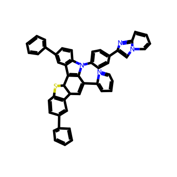 C1=C(c2ccccn2)c2c(c3cc(-c4ccccc4)ccc3n2-c2ccc(-c3cn4ccccc4n3)cc2)C2Sc3ccc(-c4ccccc4)cc3C12